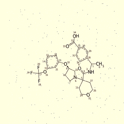 CC(NC(=O)C1(N2CC[C@@H](Oc3cccc(OC(F)(F)F)c3)C2)CCOCC1)c1ccc(C(=O)O)cc1